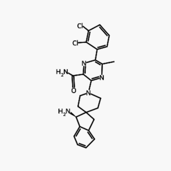 Cc1nc(N2CCC3(CC2)Cc2ccccc2[C@H]3N)c(C(N)=O)nc1-c1cccc(Cl)c1Cl